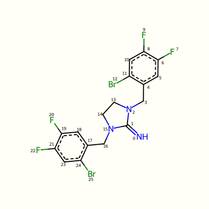 N=C1N(Cc2cc(F)c(F)cc2Br)CCN1Cc1cc(F)c(F)cc1Br